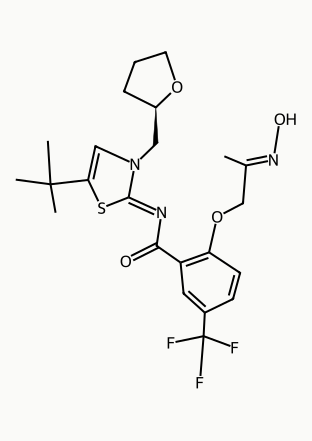 C/C(COc1ccc(C(F)(F)F)cc1C(=O)/N=c1\sc(C(C)(C)C)cn1C[C@H]1CCCO1)=N\O